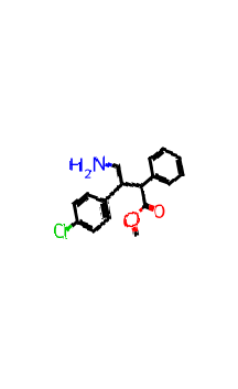 COC(=O)C(c1ccccc1)C(CN)c1ccc(Cl)cc1